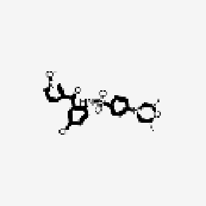 C[C@@H]1CN(c2ccc(S(=O)(=O)Nc3ccc(Cl)cc3C(=O)c3ccc[n+]([O-])c3)cc2)C[C@H](C)O1